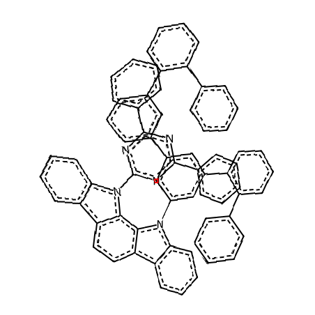 c1ccc(-c2nc(-c3ccccc3)nc(-n3c4ccccc4c4ccc5c6ccccc6n(-c6cc(-c7cccc(-c8ccccc8-c8ccccc8)c7)cc(-c7ccccc7-c7ccccc7)c6)c5c43)n2)cc1